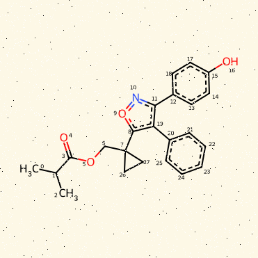 CC(C)C(=O)OCC1(c2onc(-c3ccc(O)cc3)c2-c2ccccc2)CC1